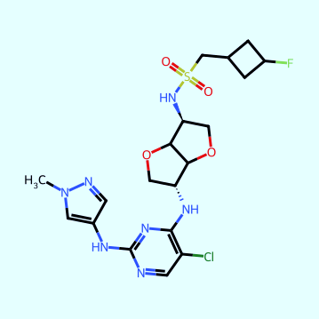 Cn1cc(Nc2ncc(Cl)c(N[C@@H]3COC4C3OC[C@@H]4NS(=O)(=O)CC3CC(F)C3)n2)cn1